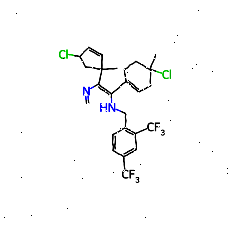 C=N/C(=C(\NCc1ccc(C(F)(F)F)cc1C(F)(F)F)C1=CCC(C)(Cl)CC1)C1(C)C=CC(Cl)C1